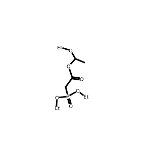 CCOC(C)OC(=O)CP(=O)(OCC)OCC